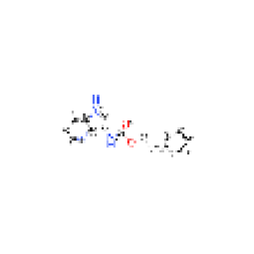 O=C(Nc1c[nH]c2cccnc12)OCCc1ccccc1